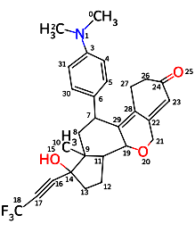 CN(C)c1ccc(C2CC3(C)C(CCC3(O)C#CC(F)(F)F)C3OCC4=CC(=O)CCC4=C23)cc1